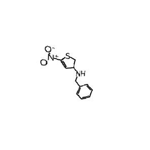 O=[N+]([O-])C1=CC(NCc2ccccc2)CS1